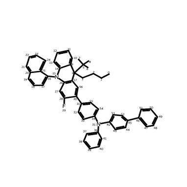 CCCCC1(C(C)(C)C)c2ccccc2N(c2cccc3ccccc23)c2cc(F)c(-c3ccc(N(c4ccccc4)c4ccc(-c5ccccc5)cc4)cc3)cc21